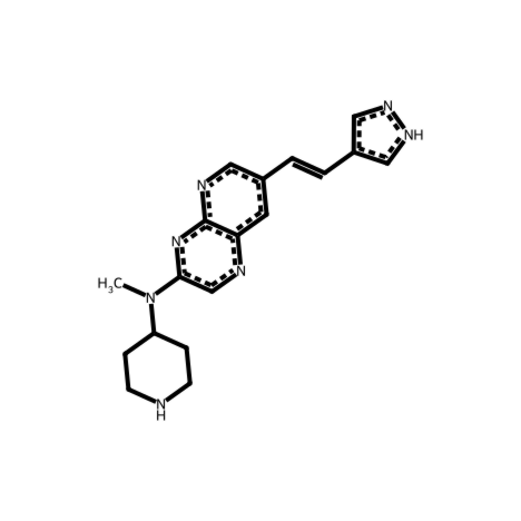 CN(c1cnc2cc(C=Cc3cn[nH]c3)cnc2n1)C1CCNCC1